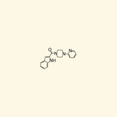 O=C(c1cc2ccccc2[nH]1)N1CCN(c2ccccn2)CC1